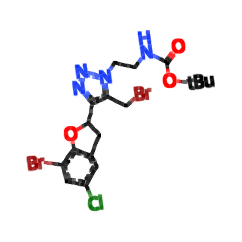 CC(C)(C)OC(=O)NCCn1nnc(C2Cc3cc(Cl)cc(Br)c3O2)c1CBr